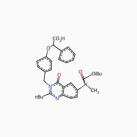 CCCCc1nc2ccc(N(C)C(=O)OCC(C)C)cc2c(=O)n1Cc1ccc(OC(C(=O)O)c2ccccc2)cc1